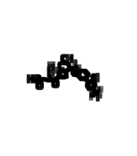 CC(C)CC(c1ccc(C(=O)NCCC(=O)O)cc1)n1cc2cc(-c3ccc(C(F)(F)F)cc3Cl)ccc2n1